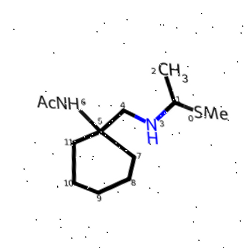 CSC(C)NCC1(NC(C)=O)CCCCC1